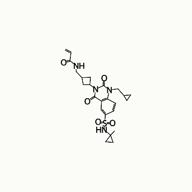 C=CC(=O)NCC1CC(n2c(=O)c3cc(S(=O)(=O)NC4(C)CC4)ccc3n(CC3CC3)c2=O)C1